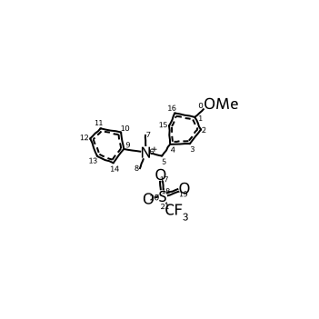 COc1ccc(C[N+](C)(C)c2ccccc2)cc1.O=S(=O)([O-])C(F)(F)F